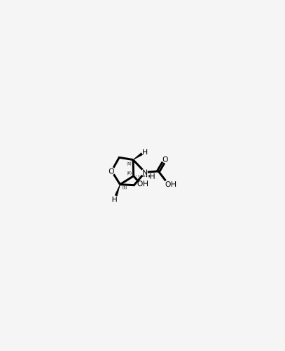 O=C(O)N1C[C@@H]2OC[C@H]1[C@H]2O